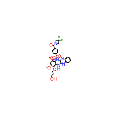 COc1cc(Nc2nc3ccccc3nc2NS(=O)(=O)c2ccc(C(=O)N3CC(F)(F)C3)cc2)c(OCCCO)c(OC)c1